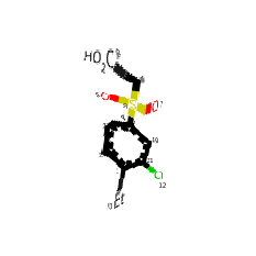 CCc1ccc(S(=O)(=O)CC(=O)O)cc1Cl